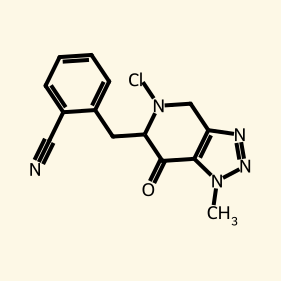 Cn1nnc2c1C(=O)C(Cc1ccccc1C#N)N(Cl)C2